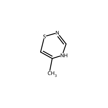 CC1=CSN=CN1